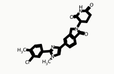 Cc1ccc(-c2nc(-c3ccc4c(c3)CN(C3CCC(=O)NC3=O)C4=O)cn2C)cc1Cl